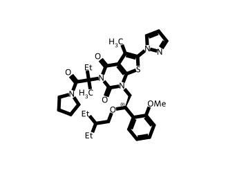 CCC(CC)CO[C@@H](Cn1c(=O)n(C(C)(CC)C(=O)N2CCCC2)c(=O)c2c(C)c(-n3cccn3)sc21)c1ccccc1OC